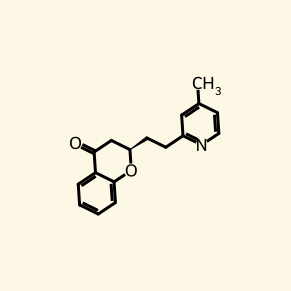 Cc1ccnc(CC[C@@H]2CC(=O)c3ccccc3O2)c1